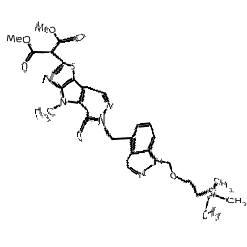 COC(=O)C(C(=O)OC)c1nc2c(s1)c1cnn(Cc3cccc4c3cnn4COCC[Si](C)(C)C)c(=O)c1n2C